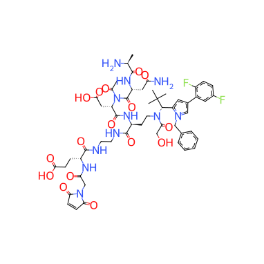 CC(=O)N(C(=O)[C@@H](CC(N)=O)NC(=O)[C@H](C)N)[C@@H](CC(=O)O)C(=O)N[C@@H](CCN(C(=O)CO)[C@@H](c1cc(-c2cc(F)ccc2F)cn1Cc1ccccc1)C(C)(C)C)C(=O)NCCNC(=O)[C@@H](CCC(=O)O)NC(=O)CN1C(=O)C=CC1=O